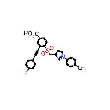 O=C(O)c1ccc(S(=O)(=O)Cc2ccn(-c3ccc(C(F)(F)F)cc3)n2)c(C#Cc2ccc(F)cc2)c1